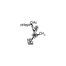 C=CCOP(=O)(OCCNC(=O)OC(C)(C)C)OC[C@@H](COCC[C@@H](CCCCCCC)OC(C)=O)N=[N+]=[N-]